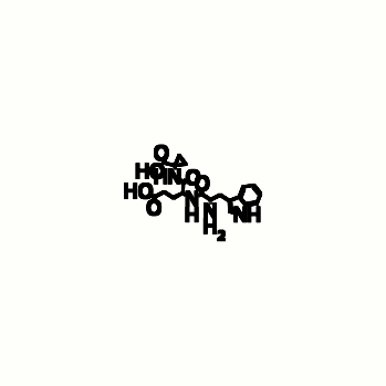 N[C@@H](Cc1c[nH]c2ccccc12)C(=O)N[C@@H](CCC(=O)O)C(=O)NC1(C(=O)O)CC1